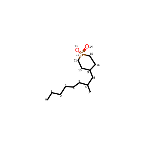 CCCCCCC(C)CC1CCS(=O)(=O)CC1